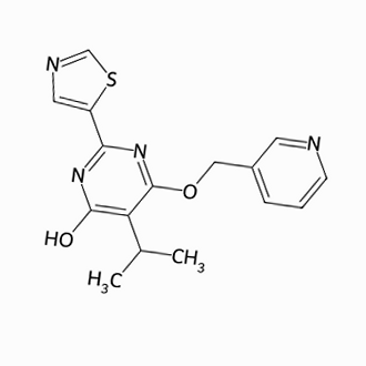 CC(C)c1c(O)nc(-c2cncs2)nc1OCc1cccnc1